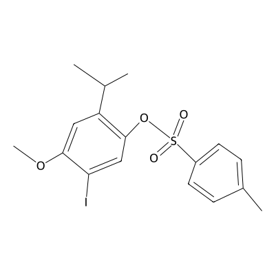 COc1cc(C(C)C)c(OS(=O)(=O)c2ccc(C)cc2)cc1I